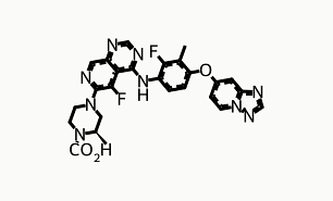 Cc1c(Oc2ccn3ncnc3c2)ccc(Nc2ncnc3cnc(N4CCN(C(=O)O)[C@H](C)C4)c(F)c23)c1F